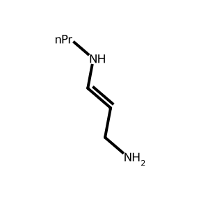 CCCNC=CCN